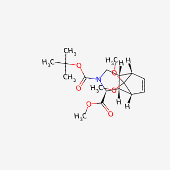 COC(=O)[C@@H]1[C@@H]2[C@H](CN1C(=O)OC(C)(C)C)[C@@H]1C=C[C@H]2C1(OC)OC